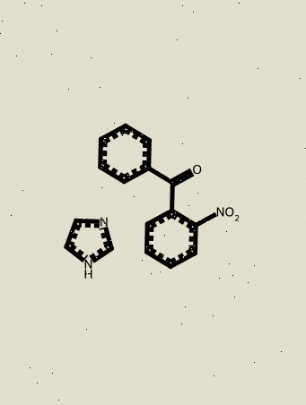 O=C(c1ccccc1)c1ccccc1[N+](=O)[O-].c1c[nH]cn1